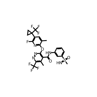 Cc1cc(C2(C(F)(F)F)CC2)c(F)nc1Oc1nnc(C(F)(F)F)c(C)c1C(=O)Nc1cccc(S(C)(=N)=O)c1